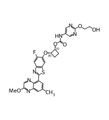 COc1cnc2c(-c3nc4cc(F)c(O[C@@H]5CC[C@@H]5OC(=O)Nc5cnc(OCCO)nc5)cc4s3)cc(C)cc2n1